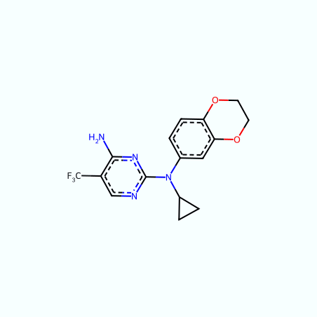 Nc1nc(N(c2ccc3c(c2)OCCO3)C2CC2)ncc1C(F)(F)F